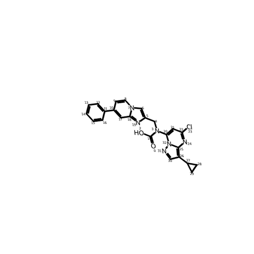 O=C(O)N(Cc1cn2ccc(-c3ccccc3)cc2n1)c1cc(Cl)nc2c(C3CC3)cnn12